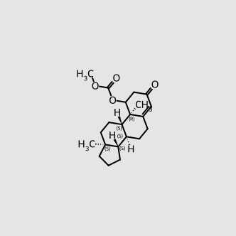 COC(=O)OC1CC(=O)C=C2CC[C@H]3[C@@H]4CCC[C@@]4(C)CC[C@@H]3[C@]21C